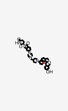 O=C1CC[C@H](N2Cc3cc(N4CCN(CC5CCN(c6ccc([C@@H]7c8ccc(O)cc8CO[C@@]78CCc7ccccc78)cc6)CC5)CC4)ccc3C2=O)C(=O)N1